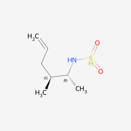 C=CC[C@H](C)[C@@H](C)N[SH](=O)=O